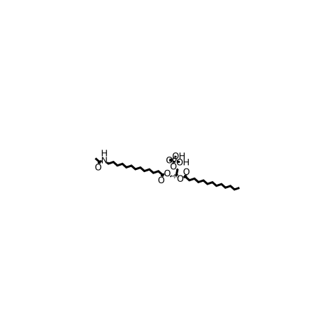 CCCCCCCCCCCCC(=O)O[C@H](COC(=O)CCCCCCCCCCCCNC(C)=O)COP(=O)(O)O